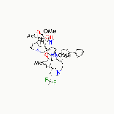 CC[C@]12C=CCN3CC[C@@]4(c5cc([C@@]6(C(=O)OC)C[C@@H]7C[C@@H](C(C)(F)F)C[N@](CCc8c6[nH]c6ccc(-c9ccccc9)cc86)C7)c(OC)cc5N(C)[C@H]4[C@@](O)(C(=O)OC)[C@@H]1OC(C)=O)[C@@H]32